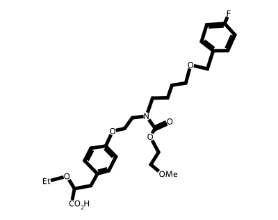 CCOC(Cc1ccc(OCCN(CCCCOCc2ccc(F)cc2)C(=O)OCCOC)cc1)C(=O)O